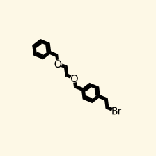 BrCCc1ccc(COCCOCc2ccccc2)cc1